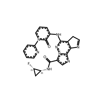 O=C(N[C@@H]1C[C@@H]1F)c1cnc2c3c(c(Nc4cccn(-c5ccccn5)c4=O)nn12)CC=N3